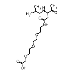 CC(=O)C(CC(=O)NCCOCCOCCOCC(=O)O)NCC(C)C